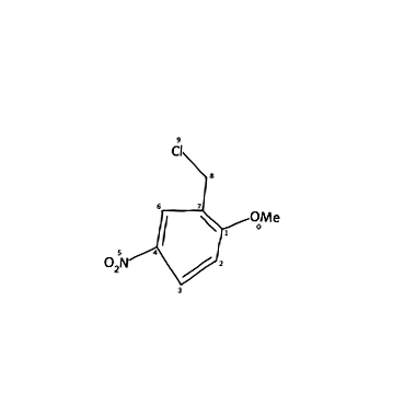 COc1ccc([N+](=O)[O-])cc1CCl